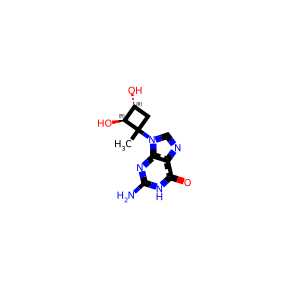 CC1(n2cnc3c(=O)[nH]c(N)nc32)C[C@@H](O)[C@@H]1O